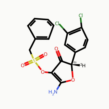 [2H][C@@]1(c2ccc(Cl)c(Cl)c2)OC(N)=C(OS(=O)(=O)Cc2ccccc2)C1=O